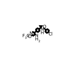 Nc1cc(OC(F)(F)F)ncc1-c1ccc(C2(NC(=O)c3ccc(Cl)cc3)CC2)cc1